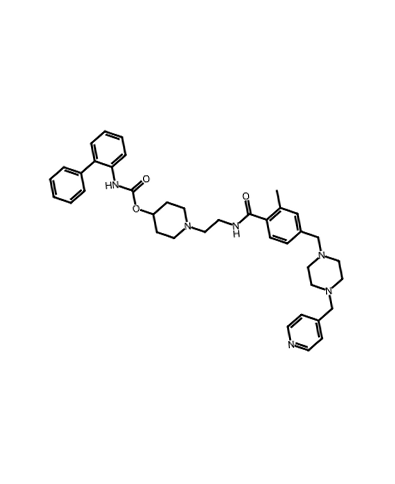 Cc1cc(CN2CCN(Cc3ccncc3)CC2)ccc1C(=O)NCCN1CCC(OC(=O)Nc2ccccc2-c2ccccc2)CC1